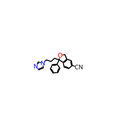 N#Cc1ccc2c(c1)COC2(CCCn1ccnc1)c1ccccc1